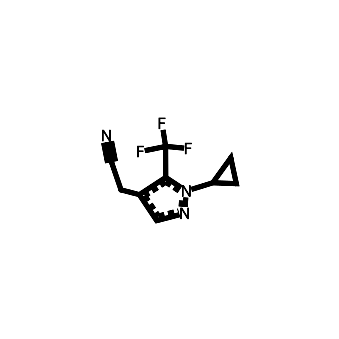 N#CCc1cnn(C2CC2)c1C(F)(F)F